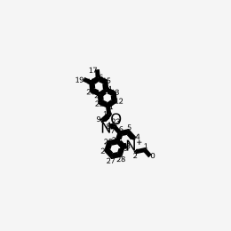 CCC[n+]1ccc(-c2ncc(-c3ccc4cc(C)c(C)cc4c3)o2)c2ccccc21